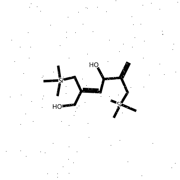 C=C(C[Si](C)(C)C)C(O)C=C(CO)C[Si](C)(C)C